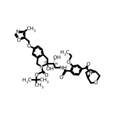 CCOc1cc(C(=O)N2C3CCC2COC3)ccc1C(=O)NC[C@@H](O)[C@@]1(O)Cc2ccc(OCc3ocnc3C)cc2CN1C(=O)OC(C)(C)C